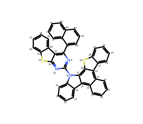 c1ccc2c(-c3nc(-n4c5ccccc5c5c6ccccc6c6c7ccccc7sc6c54)nc4sc5ccccc5c34)cccc2c1